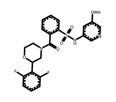 COc1cncc(NS(=O)(=O)c2ccccc2C(=O)N2CCOC(c3c(F)cccc3F)C2)c1